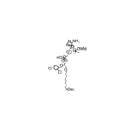 CCCCCCCCCCCCCCCCCCOC[C@H](COP(=O)(O)OC[C@@H]1C[C@@H](OC(C)(C)OC)[C@](C)(c2ccc3c(N)ncnn23)O1)OCc1ccc(Cl)cc1Cl